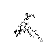 COCCOC1CCC(NC(=O)c2cc(-n3ccnc3)cc3cc(COC(N)=O)[nH]c23)CC1